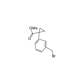 COC(=O)C1(c2cccc(CBr)c2)CC1